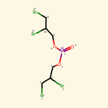 O=[PH](OCC(Br)CBr)OCC(Br)CBr